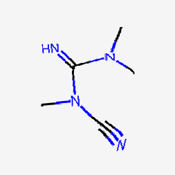 CN(C)C(=N)N(C)C#N